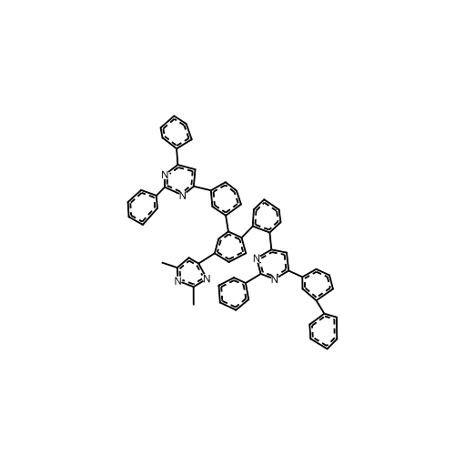 Cc1cc(-c2ccc(-c3ccccc3-c3cc(-c4cccc(-c5ccccc5)c4)nc(-c4ccccc4)n3)c(-c3cccc(-c4cc(-c5ccccc5)nc(-c5ccccc5)n4)c3)c2)nc(C)n1